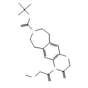 COCC(=O)N1C(=O)COc2cc3c(cc21)CCN(C(=O)OC(C)(C)C)CC3